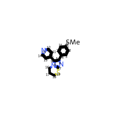 CSc1ccc(-c2nc3n(c2-c2ccncc2)CCCS3)cc1